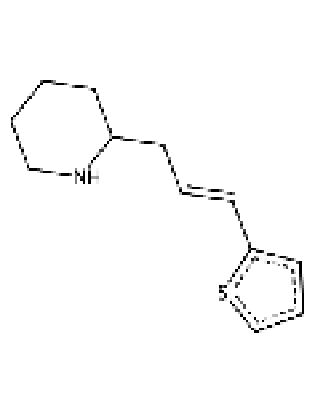 C(=Cc1cccs1)CC1CCCCN1